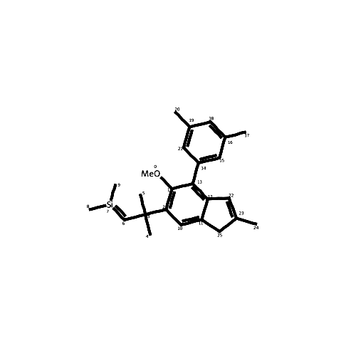 COc1c(C(C)(C)C=[Si](C)C)cc2c(c1-c1cc(C)cc(C)c1)C=C(C)C2